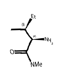 CC[C@H](C)[C@@H](N)C(=O)NC